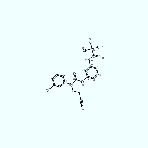 Cc1cccc(N(CCC#N)C(=O)Oc2cccc(NC(=O)C(Cl)(Cl)Cl)c2)c1